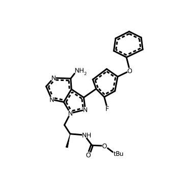 C[C@@H](Cn1nc(-c2ccc(Oc3ccccc3)cc2F)c2c(N)ncnc21)NC(=O)OC(C)(C)C